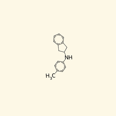 Cc1ccc(NC2Cc3ccccc3C2)cc1